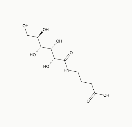 O=C(O)CCCNC(=O)[C@H](O)[C@@H](O)[C@H](O)[C@H](O)CO